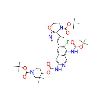 Cc1c(-c2cc3cc(NC(=O)OC4CCN(C(=O)OC(C)(C)C)CC4(C)C)ncc3c(NC(=O)OC(C)(C)C)c2F)cnc2c1N(C(=O)OC(C)(C)C)CCO2